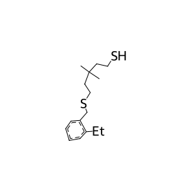 CCc1ccccc1CSCCC(C)(C)CCS